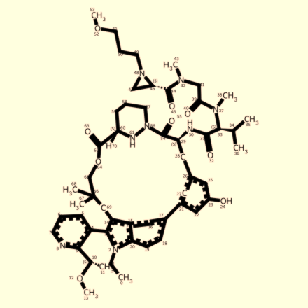 CCn1c(-c2cccnc2[C@H](C)OC)c2c3cc(ccc31)-c1cc(O)cc(c1)C[C@H](NC(=O)[C@H](C(C)C)N(C)C(=O)CN(C)C(=O)[C@@H]1CN1CCCOC)C(=O)N1CCC[C@H](N1)C(=O)OCC(C)(C)C2